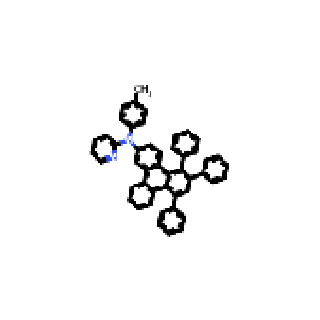 Cc1ccc(N(c2ccc3c(c2)c2ccccc2c2c(-c4ccccc4)cc(-c4ccccc4)c(-c4ccccc4)c32)c2ccccn2)cc1